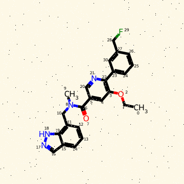 CCOc1cc(C(=O)N(C)Cc2cccc3cn[nH]c23)cnc1-c1cccc(CF)c1